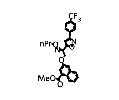 CCCON=C(COc1cc(C(=O)OC)c2ccccc2c1)c1cc(-c2ccc(C(F)(F)F)cc2)no1